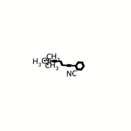 C[Si](C)(C)C#CC=CC#Cc1ccccc1C#N